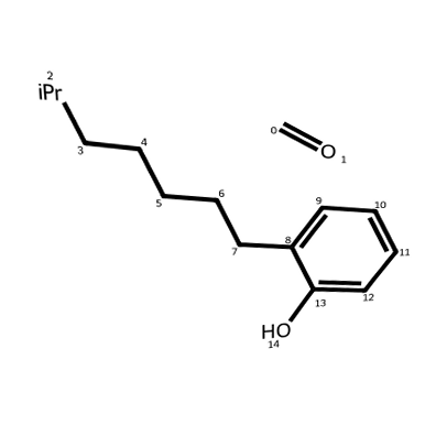 C=O.CC(C)CCCCCc1ccccc1O